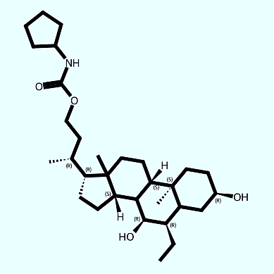 CC[C@@H]1C2C[C@H](O)CC[C@]2(C)[C@H]2CCC3(C)[C@@H]([C@H](C)CCOC(=O)NC4CCCC4)CC[C@H]3C2[C@@H]1O